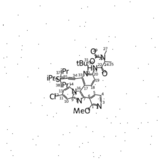 COc1ncccc1-c1nc2cc(Cl)ccn2c1-c1ccc(NC(=O)C(C)N(C)C(=O)OC(C)(C)C)nc1C#C[Si](C(C)C)(C(C)C)C(C)C